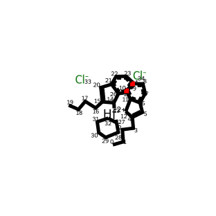 CCCCC1=Cc2ccccc2[CH]1[Hf+2]1([CH]2C(CCCC)=Cc3ccccc32)[CH]2CCCC[CH]21.[Cl-].[Cl-]